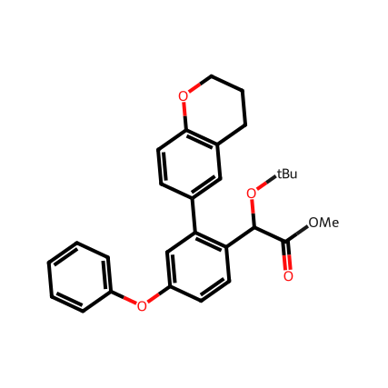 COC(=O)C(OC(C)(C)C)c1ccc(Oc2ccccc2)cc1-c1ccc2c(c1)CCCO2